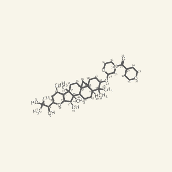 C[C@@H]1CC(C(O)C(C)(C)O)OC2C1C1(C)CCC34CC35CCC(OC3CN(C(=O)C6CCOCC6)CCO3)C(C)(C)[C@@H]5CCC4[C@]1(C)[C@H]2O